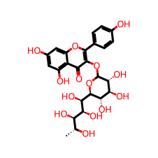 C[C@@H](O)[C@@H](O)[C@H](O)[C@@H](O)[C@H]1OC(Oc2c(-c3ccc(O)cc3)oc3cc(O)cc(O)c3c2=O)[C@H](O)[C@@H](O)[C@@H]1O